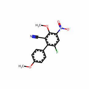 COc1ccc(-c2c(F)cc([N+](=O)[O-])c(OC)c2C#N)cc1